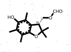 Cc1c(C)c2c(c(C)c1O)[C@H](CO[C]=O)C(C)(C)O2